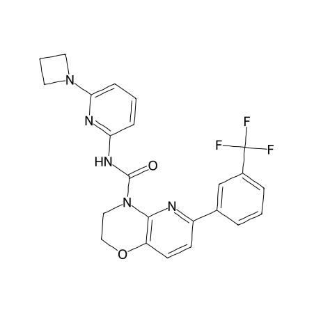 O=C(Nc1cccc(N2CCC2)n1)N1CCOc2ccc(-c3cccc(C(F)(F)F)c3)nc21